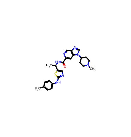 CC(NC(=O)c1cc2c(cn1)ncn2C1CCN(C)CC1)c1cnc(Nc2ccc(C(F)(F)F)cc2)s1